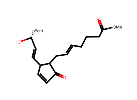 CCCCC[C@@H](O)C=CC1C=CC(=O)C1CC=CCCCC(=O)OC